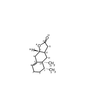 C[C@@H]1CCC=C2C[C@@H]3OC(=O)CC3C[C@]21C